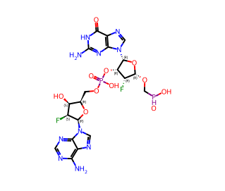 Nc1nc2c(ncn2[C@@H]2O[C@H](OC[PH](=O)O)[C@H](F)[C@@H]2OP(=O)(O)OC[C@H]2O[C@@H](n3cnc4c(N)ncnc43)[C@@H](F)[C@H]2O)c(=O)[nH]1